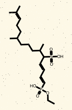 CCOP(=O)(O)C=CC=CC(C(C)CCCC(C)CCC=C(C)C)S(=O)(=O)O